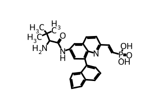 CC(C)(C)C(N)C(=O)Nc1cc(-c2cccc3ccccc23)c2nc(C=CP(=O)(O)O)ccc2c1